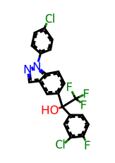 OC(c1ccc(F)c(Cl)c1)(c1ccc2c(cnn2-c2ccc(Cl)cc2)c1)C(F)(F)F